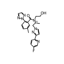 Cc1ccc(-n2nccn2)c(C(=O)N(CCO)[C@@H](C)Cn2ccc(-c3ccc(F)cn3)n2)c1